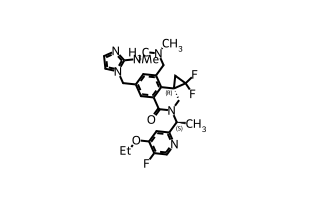 CCOc1cc([C@H](C)N2C[C@@]3(CC3(F)F)c3c(CN(C)C)cc(Cn4ccnc4NC)cc3C2=O)ncc1F